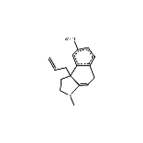 C=CCC12CCN(C)C1=CCc1ccc(OC)cc12